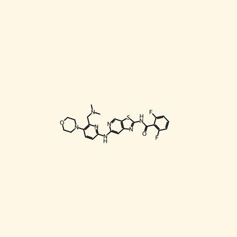 CN(C)Cc1nc(Nc2cc3nc(NC(=O)c4c(F)cccc4F)sc3cn2)ccc1N1CCOCC1